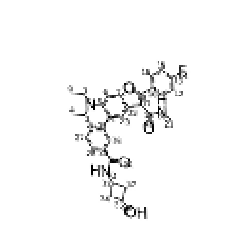 CCN(CC)c1cc2oc(-c3ccc(F)cc3)c(C(=O)NC)c2cc1-c1cccc(C(=O)NC2CC(O)C2)c1